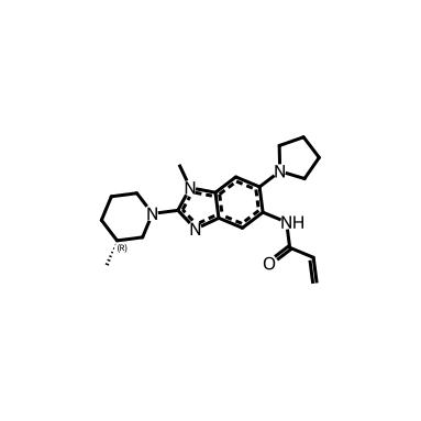 C=CC(=O)Nc1cc2nc(N3CCC[C@@H](C)C3)n(C)c2cc1N1CCCC1